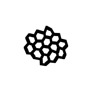 c1cc2cc3ccc4cc5ccc6ccc7cc8ccc9cc%10ccc1c1c2c2c3c4c3c5c6c7c4c8c9c(c%101)c2c34